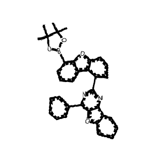 CC1(C)OB(c2cccc3c2oc2cccc(-c4nc(-c5ccccc5)c5oc6ccccc6c5n4)c23)OC1(C)C